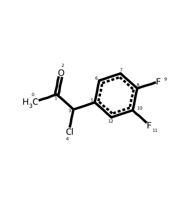 CC(=O)C(Cl)c1ccc(F)c(F)c1